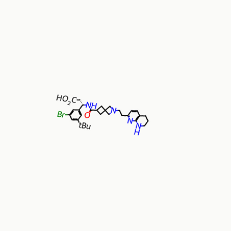 CC(C)(C)c1cc(Br)cc([C@H](CC(=O)O)NC(=O)C2CC3(C2)CN(CCc2ccc4c(n2)NCCC4)C3)c1